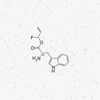 C=CC(F)OC(=O)[C@@H](N)Cc1c[nH]c2ccccc12